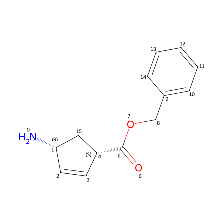 N[C@H]1C=C[C@@H](C(=O)OCc2ccccc2)C1